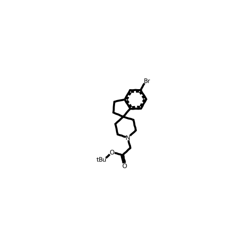 CC(C)(C)OC(=O)CN1CCC2(CCc3cc(Br)ccc32)CC1